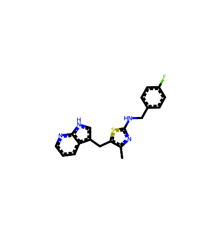 Cc1nc(NCc2ccc(F)cc2)sc1Cc1c[nH]c2ncccc12